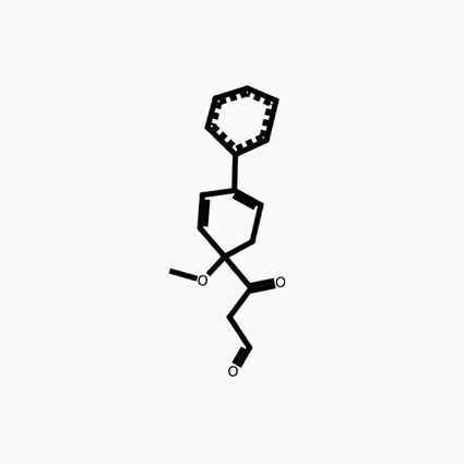 COC1(C(=O)CC=O)C=CC(c2ccccc2)=CC1